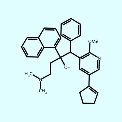 COc1ncc(C2=CCCC2)cc1C(c1ccccc1)C(O)(CCN(C)C)c1cccc2ccccc12